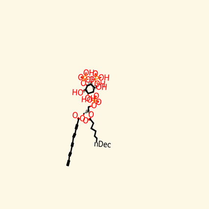 C#CC#CC#CC#CC#CC(=O)OC[C@H](COP(=O)(O)OC1C(O)[C@@H](O)C(OP(=O)(O)O)[C@@H](OP(=O)(O)O)[C@H]1O)OC(=O)CCCCCCCCCCCCCCC